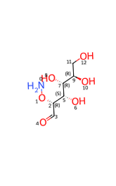 NO[C@@H](C=O)[C@@H](O)[C@H](O)[C@H](O)CO